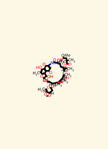 COC(=O)CC(C)(C)C(=O)OC(C)[C@H]1/C=C/C=C(/C)C(=O)NC2=CC(=O)c3c(c(O)c(C)c4c3C(O)[C@@](C)(O/C=C/[C@H](O[C@H]3C[C@@H]5OCO[C@@H]5[C@@H](C)O3)[C@@H](C)[C@@H](O)[C@H](C)[C@H](O)[C@H](C)C1)O4)C2=O